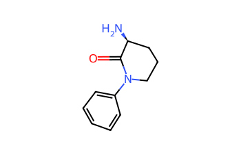 N[C@H]1CCCN(c2ccccc2)C1=O